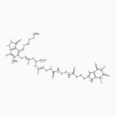 COCCOCOc1c(C/C=C(\C)CC(C/C(C)=C/COC(=O)NCCNC(=O)CCCc2nc3c(=O)n(C)c(=O)n(C)c3[nH]2)C(=O)O)c(OC)c(C)c2c1C(=O)OC2